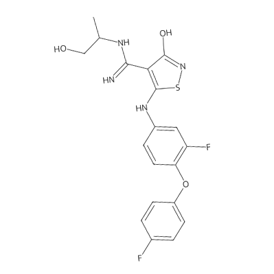 CC(CO)NC(=N)c1c(O)nsc1Nc1ccc(Oc2ccc(F)cc2)c(F)c1